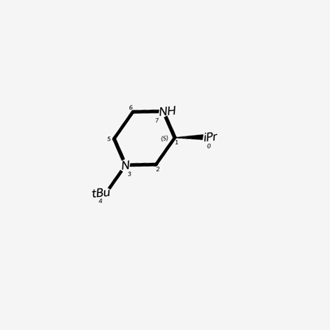 CC(C)[C@H]1CN(C(C)(C)C)CCN1